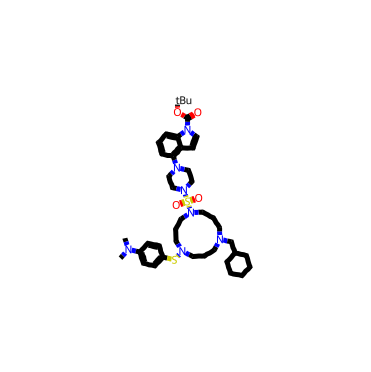 CN(C)c1ccc(SN2CCCN(CC3CCCCC3)CCCN(S(=O)(=O)N3CCN(c4cccc5c4ccn5C(=O)OC(C)(C)C)CC3)CCC2)cc1